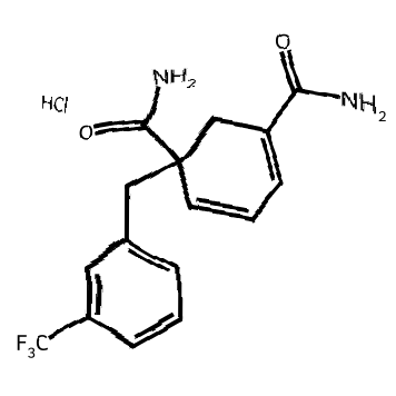 Cl.NC(=O)C1=CC=CC(Cc2cccc(C(F)(F)F)c2)(C(N)=O)C1